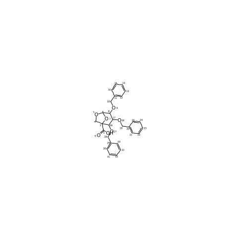 O=C(O)C12COC(O1)C(OCc1ccccc1)C(OCc1ccccc1)C2OCc1ccccc1